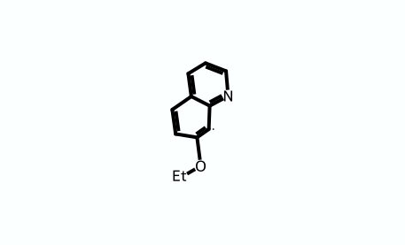 CCOc1[c]c2ncccc2cc1